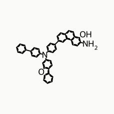 Nc1ccc2c(ccc3ccc(-c4ccc(N(c5ccc(-c6ccccc6)cc5)c5ccc6c(c5)oc5ccccc56)cc4)cc32)c1O